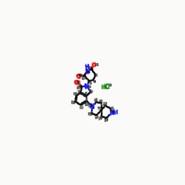 Cl.O=C1CCC(N2Cc3c(cccc3N3CCC4(CCNCC4)CC3)C2=O)C(=O)N1